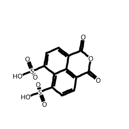 O=C1OC(=O)c2ccc(S(=O)(=O)O)c3c(S(=O)(=O)O)ccc1c23